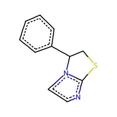 c1ccc(C2CSc3nccn32)cc1